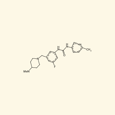 CNC1CCN(Cc2cc(F)cc(NC(=O)Nc3ccc(C)nc3)c2)CC1